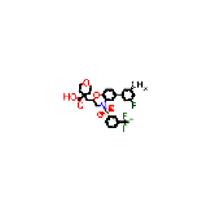 Cc1cc(F)cc(-c2ccc3c(c2)N(S(=O)(=O)c2cccc(C(F)(F)F)c2)CC(CC2(C(=O)O)CCOCC2)O3)c1